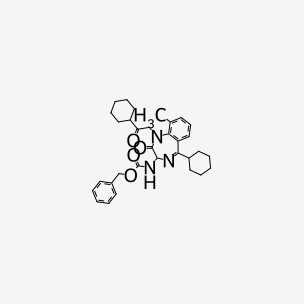 Cc1cccc2c1N(CC(=O)C1CCCCC1)C(=O)C(NC(=O)OCc1ccccc1)N=C2C1CCCCC1